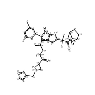 Cc1cc(C)cc(-c2[nH]c3sc(C(C)(C)C(=O)C4C5CCC4NC5)cc3c2[C@H](C)CNC(=O)C2CN(Cc3ccoc3)C2)c1